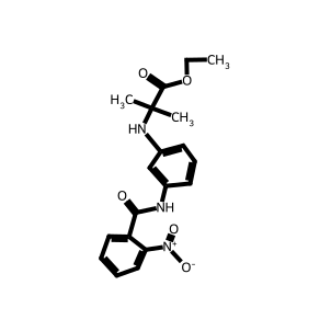 CCOC(=O)C(C)(C)Nc1cccc(NC(=O)c2ccccc2[N+](=O)[O-])c1